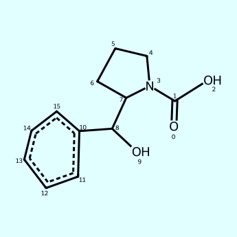 O=C(O)N1CCCC1C(O)c1ccccc1